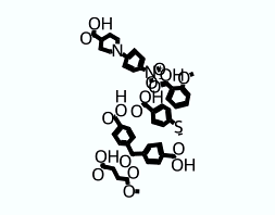 COC(=O)CCC(=O)O.COc1ccccc1C(=O)O.CSc1ccc(C(=O)O)cc1.O=C(O)C1CCN(c2ccc([N+](=O)[O-])cc2)CC1.O=C(O)c1ccc(C(=O)c2ccc(C(=O)O)cc2)cc1